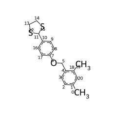 Cc1ccc(COc2ccc(C3SCCS3)cc2)c(C)c1